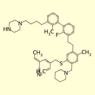 C=C/C(=C\C(C#N)=C/C)CSc1cc(CCc2cccc(-c3cccc(CCCCN4CCNCC4)c3C)c2F)c(C)cc1CN1CCCCC1